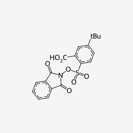 CC(C)(C)c1ccc(S(=O)(=O)ON2C(=O)c3ccccc3C2=O)c(C(=O)O)c1